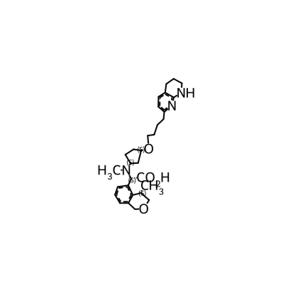 C[C@@H]1COCc2cccc([C@@H](C(=O)O)N(C)[C@H]3CC[C@H](OCCCCc4ccc5c(n4)NCCC5)C3)c21